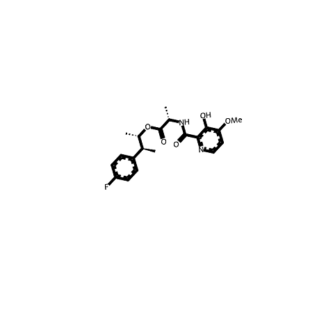 COc1ccnc(C(=O)N[C@@H](C)C(=O)O[C@@H](C)[C@@H](C)c2ccc(F)cc2)c1O